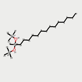 CCCCCCCCCCCCCC[Si](C)(O[Si](C)(C)C)O[Si](C)(C)C